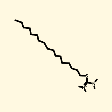 CCCCCCCCCCCCCCCCCSC(N(C)C)=[N+](C)C